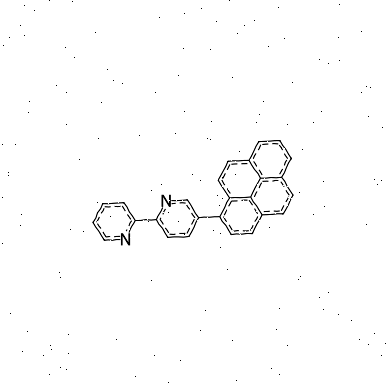 c1ccc(-c2ccc(-c3ccc4ccc5cccc6ccc3c4c56)cn2)nc1